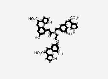 O=C(O)C(Cc1cc(O)cc(CC(=O)N(CCOc2cc(O)cc(CC(C(=O)O)C3CCNC3)c2)Cc2cc(O)cc(CC(C(=O)O)C3CCNC3)c2)c1)C1CCNC1